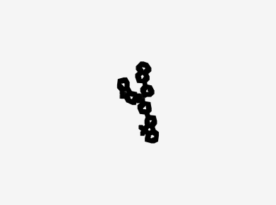 CC1(C)c2ccccc2-c2ccc(-c3ccc(N(c4cccc(-c5ccc6ccccc6c5)c4)c4ccc5sc6ccccc6c5c4)cc3)cc21